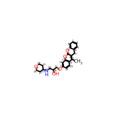 Cc1c(Cc2ccccc2)c(=O)oc2cc(OCC(O)CNC3CCOCC3)ccc12